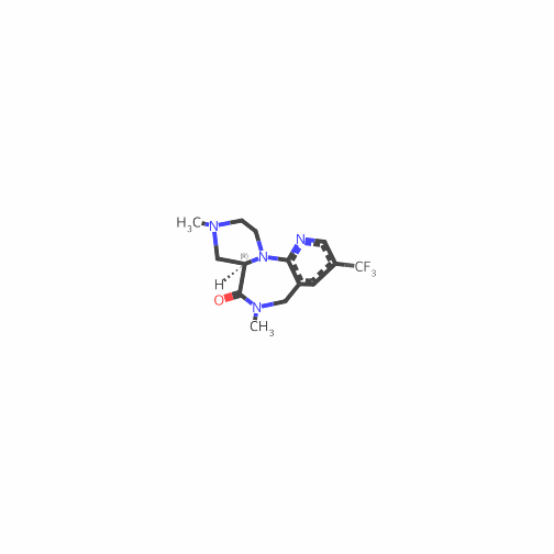 CN1CCN2c3ncc(C(F)(F)F)cc3CN(C)C(=O)[C@H]2C1